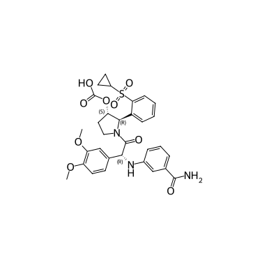 COc1ccc([C@@H](Nc2cccc(C(N)=O)c2)C(=O)N2CC[C@H](OC(=O)O)[C@H]2c2ccccc2S(=O)(=O)C2CC2)cc1OC